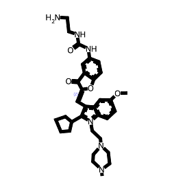 COc1ccc2c(c1)c(/C=C1\Oc3ccc(NC(=O)NCCN)cc3C1=O)c(C1CCCC1)n2CCN1CCN(C)CC1